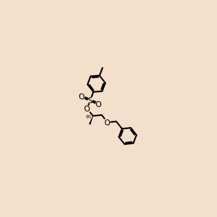 Cc1ccc(S(=O)(=O)O[C@H](C)COCc2ccccc2)cc1